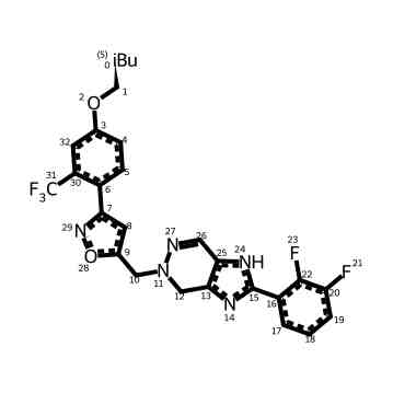 CC[C@H](C)COc1ccc(-c2cc(CN3Cc4nc(-c5cccc(F)c5F)[nH]c4C=N3)on2)c(C(F)(F)F)c1